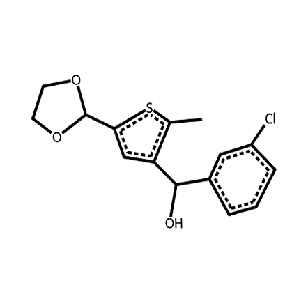 Cc1sc(C2OCCO2)cc1C(O)c1cccc(Cl)c1